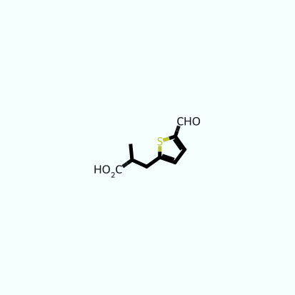 CC(Cc1ccc(C=O)s1)C(=O)O